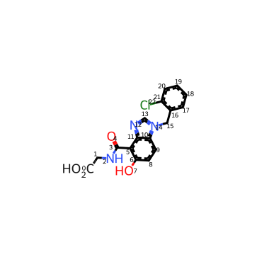 O=C(O)CNC(=O)c1c(O)ccc2c1ncn2Cc1ccccc1Cl